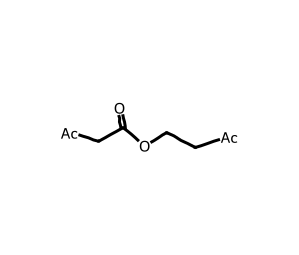 CC(=O)CCOC(=O)CC(C)=O